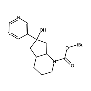 CC(C)(C)OC(=O)N1CCCC2CC(O)(c3cncnc3)CC21